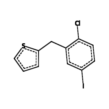 Clc1ccc(I)cc1Cc1cccs1